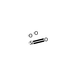 O=[Si].[O].[O]